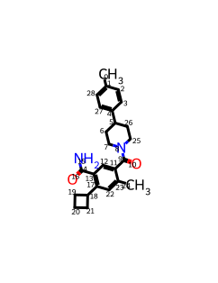 Cc1ccc(C2CCN(C(=O)c3cc(C(N)=O)c(C4CCC4)cc3C)CC2)cc1